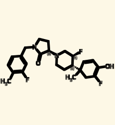 Cc1ccc(CN2CC[C@@H](N3CC[C@@H](C4(C)C=CC(O)=C(F)C4)[C@H](F)C3)C2=O)cc1F